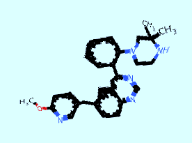 COc1ccc(-c2ccc3ncnc(-c4c[c]ccc4N4CCNC(C)(C)C4)c3c2)cn1